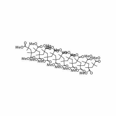 COC(=O)C(C)(C)CC(C)(CC(C)(CC(C)(CC(C)(CC(C)(CC(C)(CC(C)(CC(C)(CC(C)(CC(C)(CC(C)(CC(C)(CC(C)(CC(C)(CC(C)(CC(C)(C)C(=O)OC)C(=O)OC)C(=O)OC)C(=O)OC)C(=O)OC)C(=O)OC)C(=O)OC)C(=O)OC)C(=O)OC)C(=O)OC)C(=O)OC)C(=O)OC)C(=O)OC)C(=O)OC)C(=O)OC)C(=O)OC